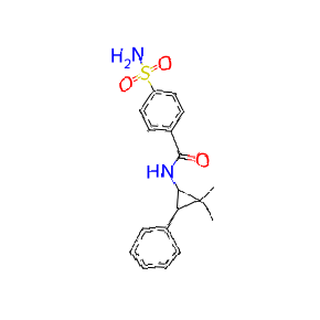 CC1(C)C(NC(=O)c2ccc(S(N)(=O)=O)cc2)C1c1ccccc1